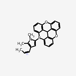 C/C=C\c1cc(N2c3cccc4c3C3c5c(cccc5Oc5cccc2c53)O4)n(C)c1C